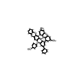 CC(C)(C)c1ccc(N2c3cc4c(cc3B3c5c(cc(-c6ccccc6)cc52)-c2cc(C(C)(C)C)cc5c2N3c2ccc(C(C)(C)C)cc2O5)Oc2ccccc2S4)cc1